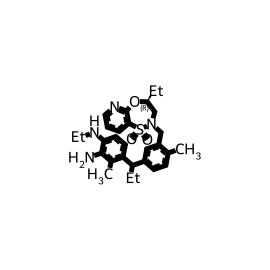 CCNc1ccc(C(CC)c2ccc(C)c(CN3C[C@@H](CC)Oc4ncccc4S3(=O)=O)c2)c(C)c1N